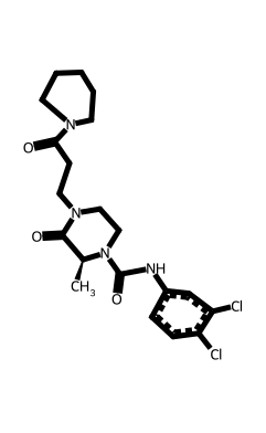 C[C@H]1C(=O)N(CCC(=O)N2CCCCC2)CCN1C(=O)Nc1ccc(Cl)c(Cl)c1